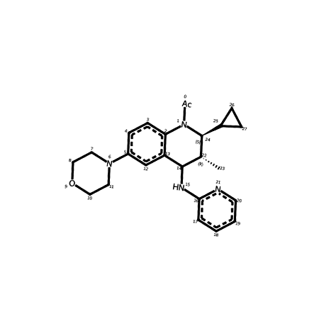 CC(=O)N1c2ccc(N3CCOCC3)cc2C(Nc2ccccn2)[C@@H](C)[C@@H]1C1CC1